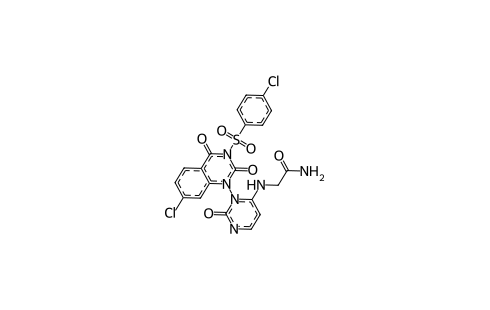 NC(=O)CNc1ccnc(=O)n1-n1c(=O)n(S(=O)(=O)c2ccc(Cl)cc2)c(=O)c2ccc(Cl)cc21